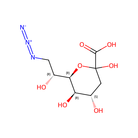 [N-]=[N+]=NC[C@@H](O)[C@H]1OC(O)(C(=O)O)C[C@H](O)[C@H]1O